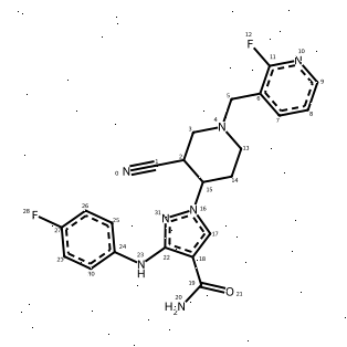 N#CC1CN(Cc2cccnc2F)CCC1n1cc(C(N)=O)c(Nc2ccc(F)cc2)n1